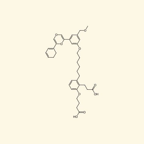 COCc1cc(OCCCCCCc2cccc(OCCCC(=O)O)c2CCC(=O)O)cc(C2=COC=C(C3=CC=CCC3)O2)c1